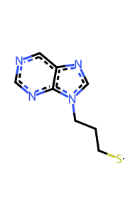 [S]CCCn1cnc2cncnc21